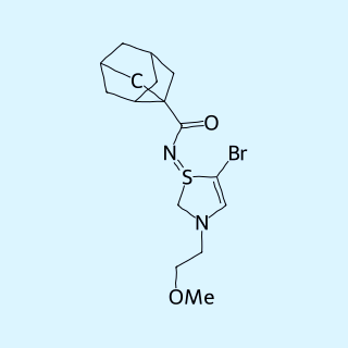 COCCN1C=C(Br)/S(=N\C(=O)C23CC4CC(CC2C4)C3)C1